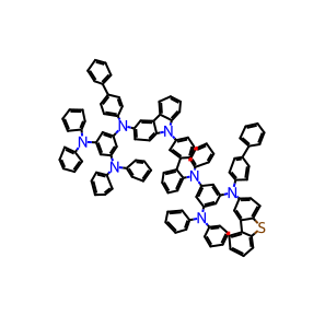 c1ccc(-c2ccc(N(c3cc(N(c4ccccc4)c4ccccc4)cc(N(c4ccccc4)c4ccccc4-c4cccc(-n5c6ccccc6c6cc(N(c7ccc(-c8ccccc8)cc7)c7cc(N(c8ccccc8)c8ccccc8)cc(N(c8ccccc8)c8ccccc8)c7)ccc65)c4)c3)c3ccc4sc5ccccc5c4c3)cc2)cc1